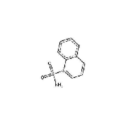 NS(=O)(=O)S1=CC=Cc2ccccc21